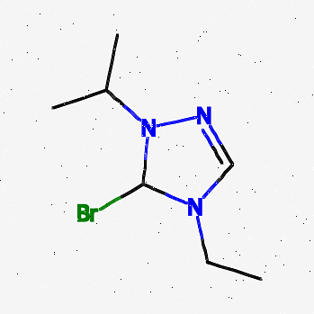 CCN1C=NN(C(C)C)C1Br